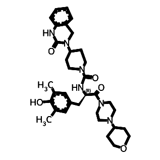 Cc1cc(C[C@@H](NC(=O)N2CCC(N3Cc4ccccc4NC3=O)CC2)C(=O)N2CCN(C3CCOCC3)CC2)cc(C)c1O